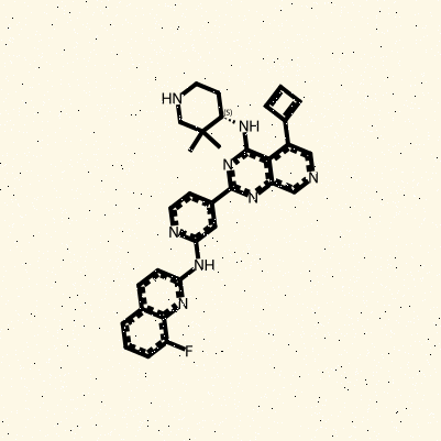 CC1(C)CNCC[C@@H]1Nc1nc(-c2ccnc(Nc3ccc4cccc(F)c4n3)c2)nc2cncc(C3=CC=C3)c12